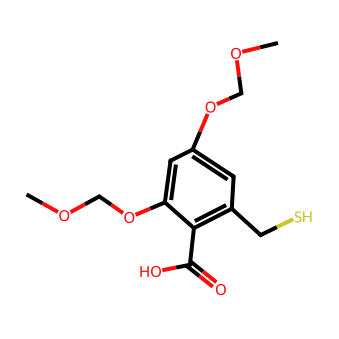 COCOc1cc(CS)c(C(=O)O)c(OCOC)c1